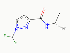 CC(C)[C@@H](C)NC(=O)c1ccn(C(F)F)n1